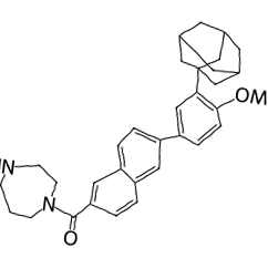 COc1ccc(-c2ccc3cc(C(=O)N4CCCNCC4)ccc3c2)cc1C12CC3CC(CC(C3)C1)C2